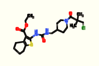 CCOC(=O)c1c(NC(=O)NCC2CCN(C(=O)C(C)(C)CCl)CC2)sc2c1CCCC2